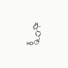 Cc1ncsc1-c1ccc(CN2CCC(O)C2)cc1